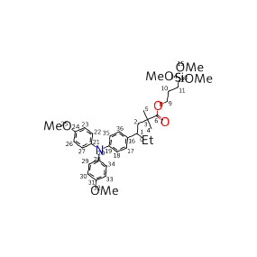 CCC(CC(C)(C)C(=O)OCCC[Si](OC)(OC)OC)c1ccc(N(c2ccc(OC)cc2)c2ccc(OC)cc2)cc1